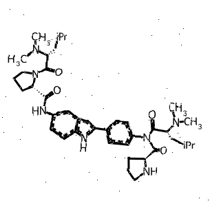 CC(C)C[C@H](C(=O)N(C(=O)[C@@H]1CCCN1)c1ccc(-c2cc3cc(NC(=O)[C@@H]4CCCN4C(=O)[C@@H](CC(C)C)N(C)C)ccc3[nH]2)cc1)N(C)C